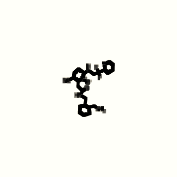 N#Cc1ccc(NCC(F)(F)c2ccccn2)[n+]([O-])c1CC(=O)NCc1ccccc1CN